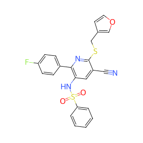 N#Cc1cc(NS(=O)(=O)c2ccccc2)c(-c2ccc(F)cc2)nc1SCc1ccoc1